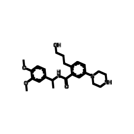 COc1ccc(C(C)NC(=O)c2cc(N3CCNCC3)ccc2CCCO)cc1OC